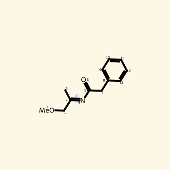 COC/C(C)=N/C(=O)Cc1ccccc1